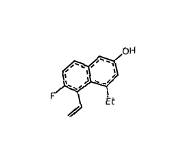 C=Cc1c(F)ccc2cc(O)cc(CC)c12